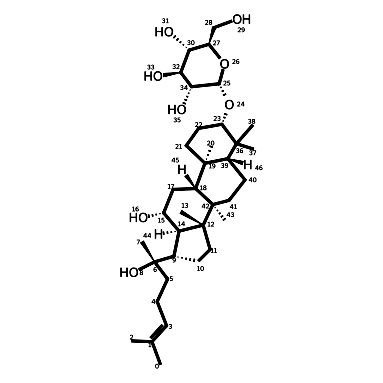 CC(C)=CCC[C@](C)(O)[C@H]1CC[C@]2(C)[C@@H]1[C@H](O)C[C@@H]1[C@@]3(C)CC[C@H](O[C@H]4O[C@H](CO)[C@@H](O)[C@H](O)[C@H]4O)C(C)(C)[C@@H]3CC[C@]12C